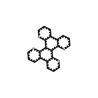 c1cnc2c(c1)c1cccnc1c1c3ncccc3c3cccnc3c21